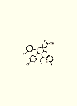 CCC(c1cccc(C)n1)N1C(=O)C(C)(CC(=O)O)CC(c2cccc(Cl)c2)C1c1ccc(Cl)cc1